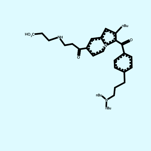 CCCCc1cc2cc(C(=O)CCNCCC(=O)O)ccn2c1C(=O)c1ccc(CCCN(CCCC)CCCC)cc1